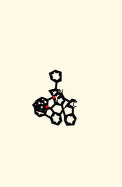 c1ccc(-c2cc(-c3ccccc3)nc(-c3cccc4c3[C@]3(c5ccccc5-4)c4ccccc4C4(c5ccccc5)c5ccccc5-c5cccc3c54)n2)cc1